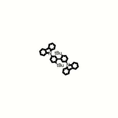 CC(C)(C)c1ccc(-n2c3ccccc3c3ccccc32)cc1-c1cc(-n2c3ccccc3c3ccccc32)ccc1C(C)(C)C